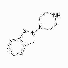 c1ccc2c(c1)CN(N1CCNCC1)S2